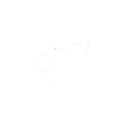 Nc1cncc(C(=O)NCC2CC2)c1